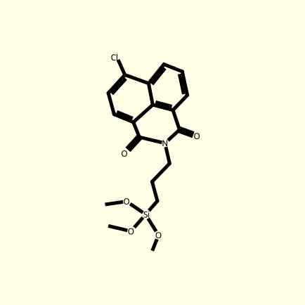 CO[Si](CCCN1C(=O)c2cccc3c(Cl)ccc(c23)C1=O)(OC)OC